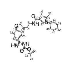 Cc1c(C(=O)NCCC2COc3ccc(C(=N)NC(=O)OC(C)(C)C)cc32)cn(-c2ccccc2)c1C